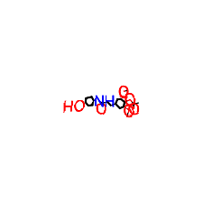 COc1cc(/C=C/C(=O)Nc2ccc(O)cc2)cc(OC)c1OC(C)=O